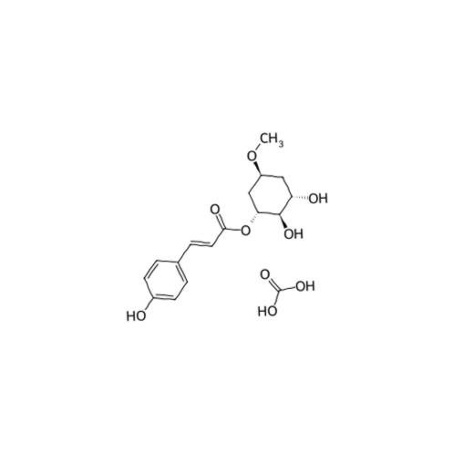 CO[C@H]1C[C@H](O)[C@@H](O)[C@H](OC(=O)/C=C/c2ccc(O)cc2)C1.O=C(O)O